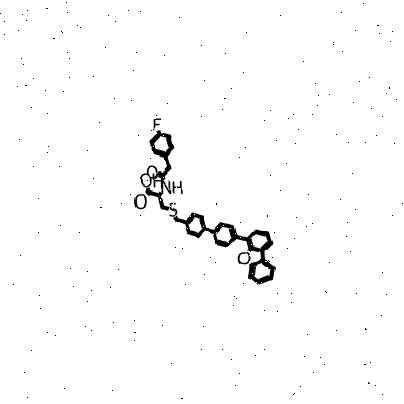 O=C(Cc1ccc(F)cc1)NC(CSCc1ccc(-c2ccc(-c3cccc4c3oc3ccccc34)cc2)cc1)C(=O)O